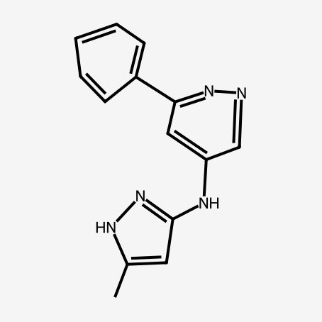 Cc1cc(Nc2cnnc(-c3ccccc3)c2)n[nH]1